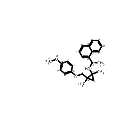 C[C@@H](NC1(C)CC1(C)CSc1ccc(OC(F)(F)F)cc1)c1cccc2ccccc12